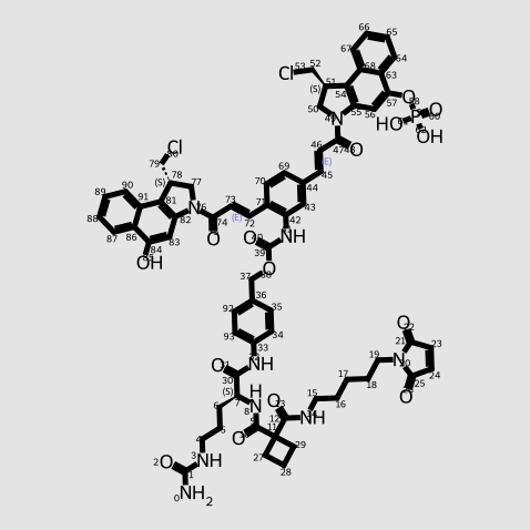 NC(=O)NCCC[C@H](NC(=O)C1(C(=O)NCCCCCN2C(=O)C=CC2=O)CCC1)C(=O)Nc1ccc(COC(=O)Nc2cc(/C=C/C(=O)N3C[C@@H](CCl)c4c3cc(OP(=O)(O)O)c3ccccc43)ccc2/C=C/C(=O)N2C[C@@H](CCl)c3c2cc(O)c2ccccc32)cc1